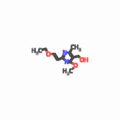 CCOC=Cc1nc(C)c(CO)c(OC)n1